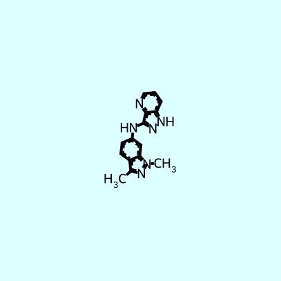 Cc1nn(C)c2cc(Nc3n[nH]c4cccnc34)ccc12